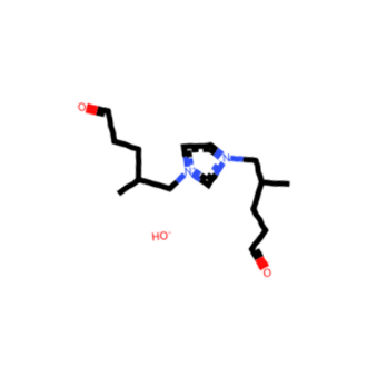 CC(CCC=O)Cn1cc[n+](CC(C)CCC=O)c1.[OH-]